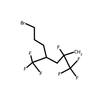 CC(F)(CC(CCCBr)C(F)(F)F)C(F)(F)F